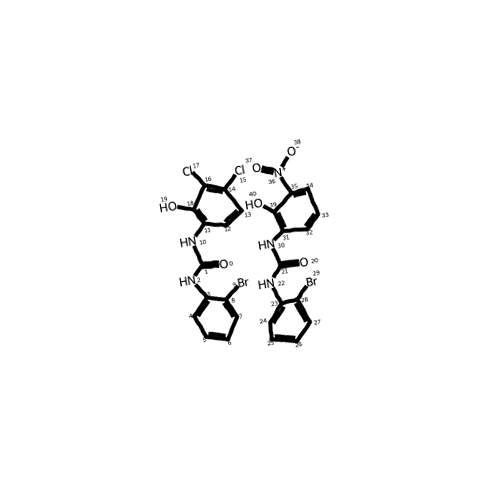 O=C(Nc1ccccc1Br)Nc1ccc(Cl)c(Cl)c1O.O=C(Nc1ccccc1Br)Nc1cccc([N+](=O)[O-])c1O